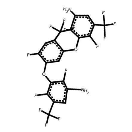 Nc1cc(C(F)(F)F)c(F)c(Oc2cc(Oc3c(F)c(N)cc(C(F)(F)F)c3F)c(C(F)(F)F)cc2F)c1F